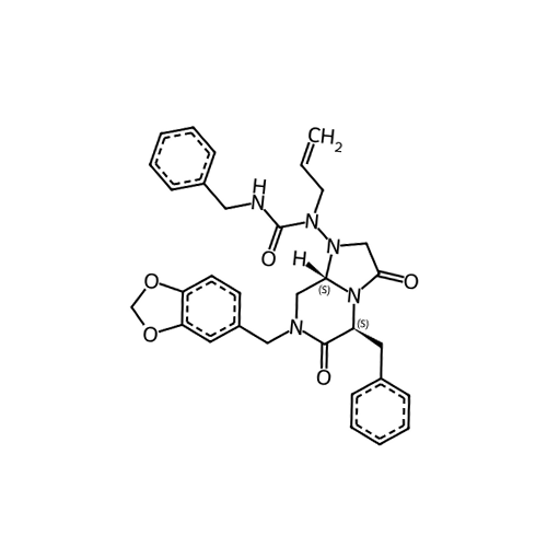 C=CCN(C(=O)NCc1ccccc1)N1CC(=O)N2[C@@H](Cc3ccccc3)C(=O)N(Cc3ccc4c(c3)OCO4)C[C@@H]21